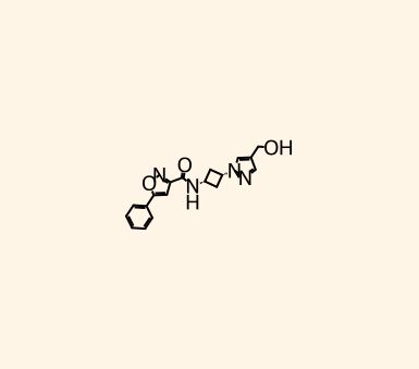 O=C(N[C@H]1C[C@@H](n2cc(CO)cn2)C1)c1cc(-c2ccccc2)on1